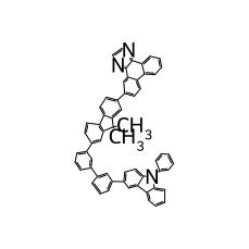 CC1(C)c2cc(-c3cccc(-c4cccc(-c5ccc6c(c5)c5ccccc5n6-c5ccccc5)c4)c3)ccc2-c2ccc(-c3ccc4c5ccccc5c5nccnc5c4c3)cc21